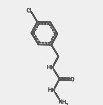 NNC(=O)NCc1ccc(Cl)cc1